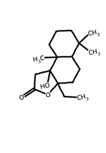 CCC12CCC3C(C)(C)CCCC3(C)C1(O)CC(=O)O2